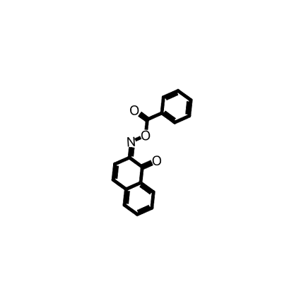 O=C(ON=C1C=Cc2ccccc2C1=O)c1ccccc1